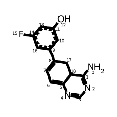 NC1=NC=NC2=CC=C(c3cc(O)cc(F)c3)CC21